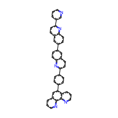 c1cncc(-c2ccc3cc(-c4ccc5nc(-c6ccc(-c7cc8cccnc8c8ncccc78)cc6)ccc5c4)ccc3n2)c1